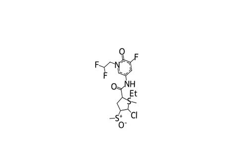 CCS1(C)C(C(=O)Nc2cc(F)c(=O)n(CC(F)F)c2)CC([S+](C)[O-])C1Cl